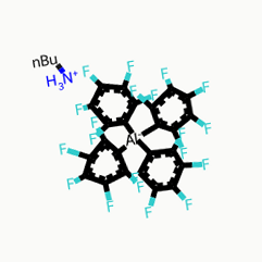 CCCC[NH3+].Fc1c(F)c(F)[c]([Al-]([c]2c(F)c(F)c(F)c(F)c2F)([c]2c(F)c(F)c(F)c(F)c2F)[c]2c(F)c(F)c(F)c(F)c2F)c(F)c1F